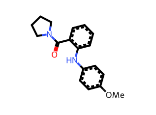 COc1ccc(Nc2ccccc2C(=O)N2CCCC2)cc1